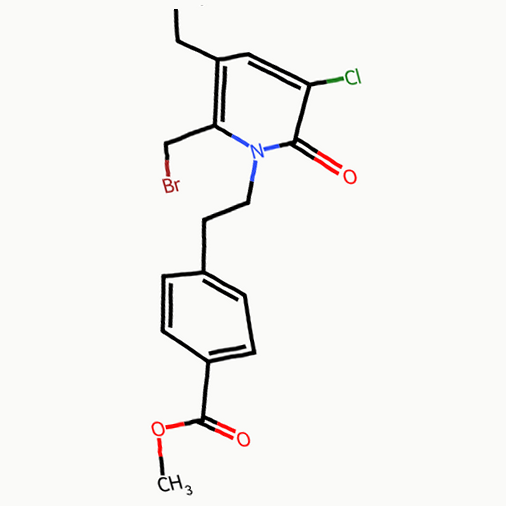 CCc1cc(Cl)c(=O)n(CCc2ccc(C(=O)OC)cc2)c1CBr